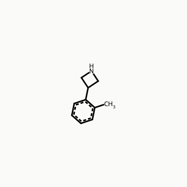 Cc1ccccc1C1CNC1